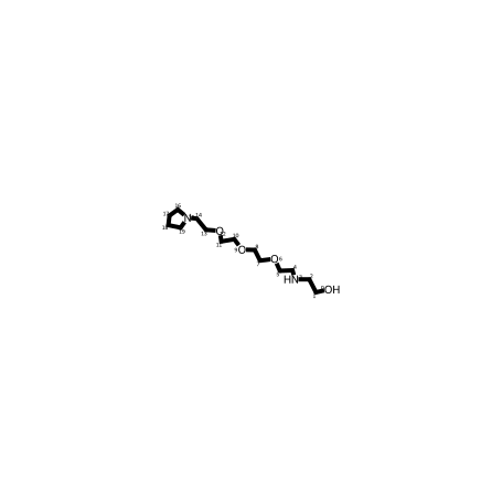 OCCNCCOCCOCCOCCN1CCCC1